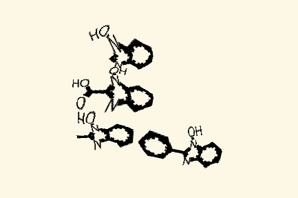 Cc1nc2ccccc2n1O.O=C(O)c1nc2ccccc2n1O.On1c(-c2ccccc2)nc2ccccc21.On1cnc2ccccc21